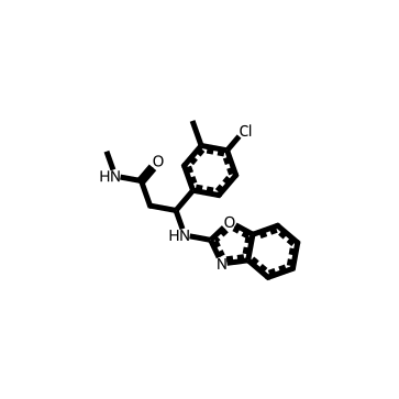 CNC(=O)CC(Nc1nc2ccccc2o1)c1ccc(Cl)c(C)c1